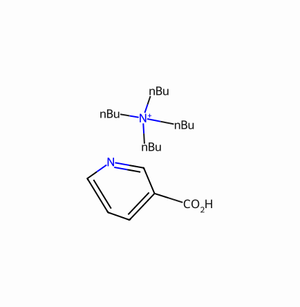 CCCC[N+](CCCC)(CCCC)CCCC.O=C(O)c1cccnc1